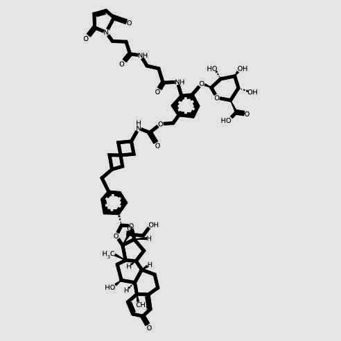 C[C@]12C=CC(=O)C=C1CC[C@@H]1[C@@H]2[C@@H](O)C[C@@]2(C)[C@H]1C[C@H]1O[C@@H](c3ccc(CC4CC5(C4)CC(NC(=O)OCc4ccc(O[C@@H]6O[C@H](C(=O)O)[C@@H](O)[C@H](O)[C@H]6O)c(NC(=O)CCNC(=O)CCN6C(=O)C=CC6=O)c4)C5)cc3)O[C@]12C(=O)CO